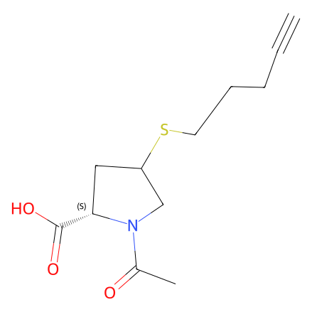 C#CCCCSC1C[C@@H](C(=O)O)N(C(C)=O)C1